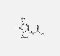 CCCCCn1/c(=N/C(=O)C(F)(F)F)cc(C(C)(C)C)n1C